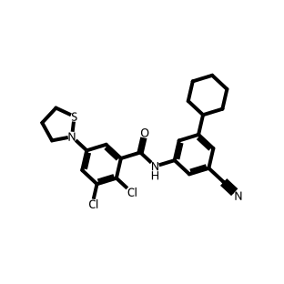 N#Cc1cc(NC(=O)c2cc(N3CCCS3)cc(Cl)c2Cl)cc(C2CCCCC2)c1